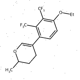 CCOc1ccc(C2=COC(C)CC2)c(C(F)(F)F)c1C(F)(F)F